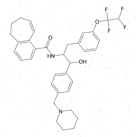 O=C(NC(Cc1cccc(OC(F)(F)C(F)F)c1)C(O)c1ccc(CN2CCCCC2)cc1)c1cccc2c1C=CCCC2